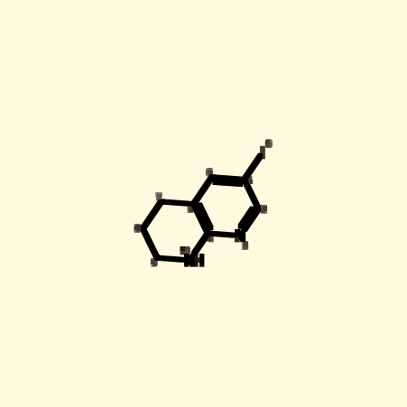 Ic1cnc2c(c1)CCCN2